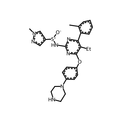 CCc1c(Oc2ccc(N3CCNCC3)cc2)nc(N[S+]([O-])c2cnn(C)c2)nc1-c1ccccc1C